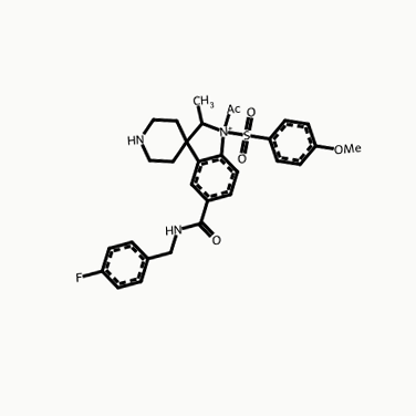 COc1ccc(S(=O)(=O)[N+]2(C(C)=O)c3ccc(C(=O)NCc4ccc(F)cc4)cc3C3(CCNCC3)C2C)cc1